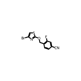 N#Cc1ccc(COc2nc(Br)cs2)c(F)c1